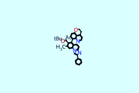 CC(=O)[C@@H](OC(C)(C)C)c1c(C)cc2c(ccc3nc(-c4ccccc4)cn32)c1-c1ccc2c3c(ccnc13)CCO2